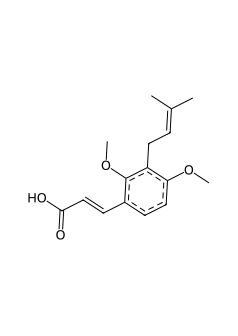 COc1ccc(/C=C/C(=O)O)c(OC)c1CC=C(C)C